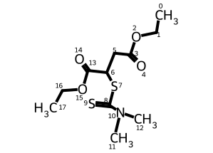 CCOC(=O)CC(SC(=S)N(C)C)C(=O)OCC